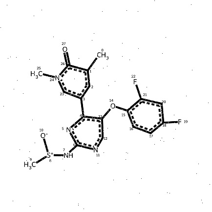 Cc1cc(-c2nc(N[S+](C)[O-])ncc2Oc2ccc(F)cc2F)cn(C)c1=O